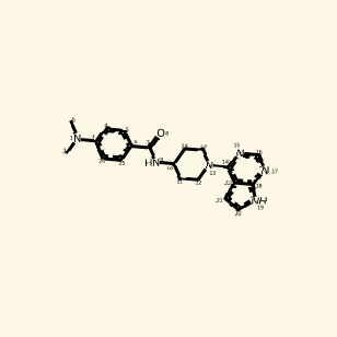 CN(C)c1ccc(C(=O)NC2CCN(c3ncnc4[nH]ccc34)CC2)cc1